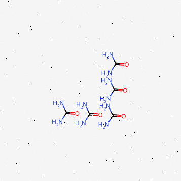 NC(N)=O.NC(N)=O.NC(N)=O.NC(N)=O.NC(N)=O